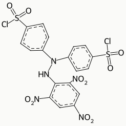 O=[N+]([O-])c1cc([N+](=O)[O-])c(NN(c2ccc(S(=O)(=O)Cl)cc2)c2ccc(S(=O)(=O)Cl)cc2)c([N+](=O)[O-])c1